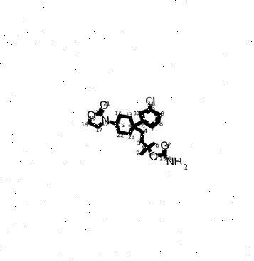 CC(C)(CCC1(c2cccc(Cl)c2)CCC(N2CCOC2=O)CC1)OC(N)=O